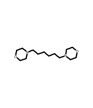 C(CCCN1CCOCC1)CCN1CCOCC1